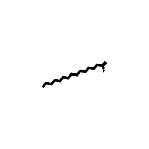 C=C(F)CCCCCCCCCCCCCC